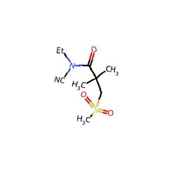 CCN(C#N)C(=O)C(C)(C)CS(C)(=O)=O